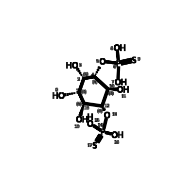 O[C@@H]1[C@H](O)[C@H](OP(O)(O)=S)[C@@H](O)[C@H](OP(O)(O)=S)[C@H]1O